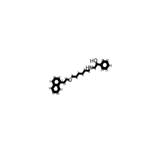 OC(CNCCCCCCOCCc1cccc2ccccc12)c1ccccc1